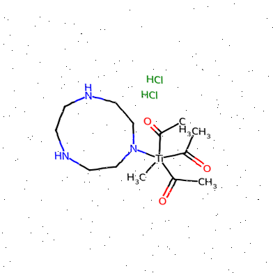 C[C](=O)[Ti]([CH3])([C](C)=O)([C](C)=O)[N]1CCNCCNCC1.Cl.Cl